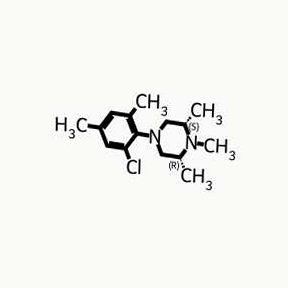 Cc1cc(C)c(N2C[C@@H](C)N(C)[C@@H](C)C2)c(Cl)c1